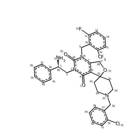 N[C@@H](Cn1c(=O)c2c(n(Cc3c(F)cccc3C(F)(F)F)c1=O)COC21CCN(Cc2ccccc2Cl)CC1)c1ccccc1